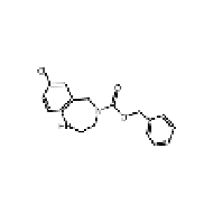 O=C(OCc1ccccc1)N1CCNc2ccc(Cl)cc2C1